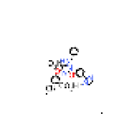 CN1CCN=C1c1cccc(Oc2nc(NCc3ccccc3)c([N+](=O)[O-])c(Oc3ccc(C#N)c(C(=O)O)c3)n2)c1